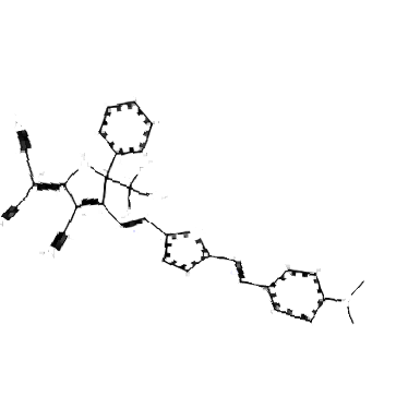 CN(C)c1ccc(/C=C/c2ccc(/C=C/C3=C(C#N)C(=C(C#N)C#N)OC3(c3ccccc3)C(F)(F)F)s2)cc1